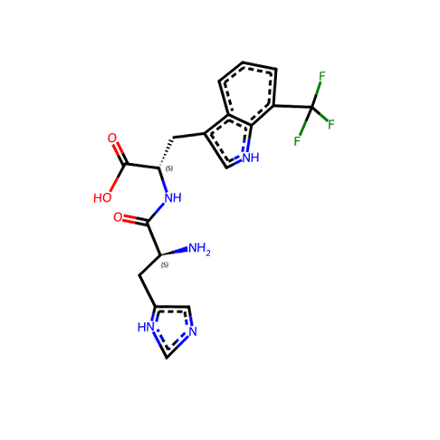 N[C@@H](Cc1cnc[nH]1)C(=O)N[C@@H](Cc1c[nH]c2c(C(F)(F)F)cccc12)C(=O)O